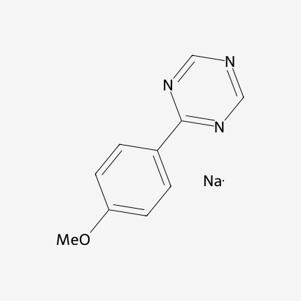 COc1ccc(-c2ncncn2)cc1.[Na]